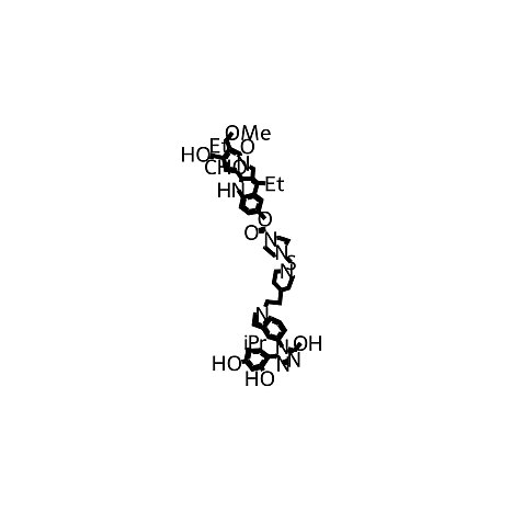 CCC1=C2Cn3c(cc(C(O)(C=O)CC)c(COC)c3=O)C2Nc2ccc(OC(=O)N3CCN(SN4CCC(CCn5ccc6cc(-n7c(O)nnc7-c7cc(C(C)C)c(O)cc7O)ccc65)CC4)CC3)cc21